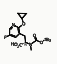 CN(C(=O)OC(C)(C)C)[C@@H](Cc1cc(F)cnc1OC1CC1)C(=O)O